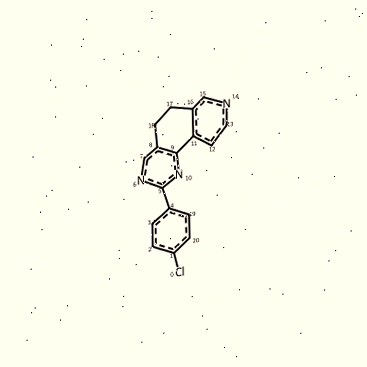 Clc1ccc(-c2ncc3c(n2)-c2ccncc2CC3)cc1